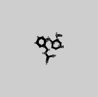 CO[C@@H]1CNCC[C@H]1O.O=C(Cl)OCc1ccccc1